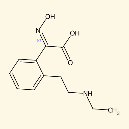 CCNCCc1ccccc1/C(=N/O)C(=O)O